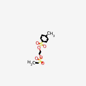 C=CS(=O)(=O)OC=COS(=O)(=O)c1ccc(C)cc1